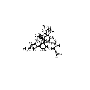 [2H]C([2H])([2H])NC(=O)c1cnc(NC(=O)C2CC2)cc1Nc1nccc2c1N(C([2H])([2H])[2H])Cc1cn(C)nc1-2